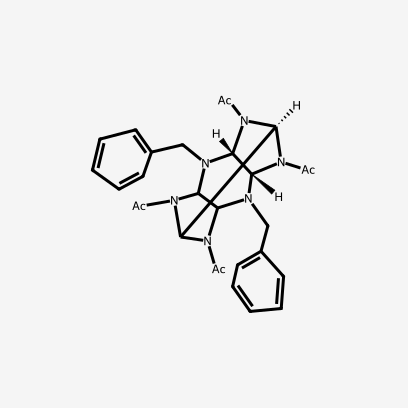 CC(=O)N1C2[C@H]3N(C(C)=O)[C@@H]4[C@@H](N(Cc5ccccc5)C(C1N4Cc1ccccc1)N2C(C)=O)N3C(C)=O